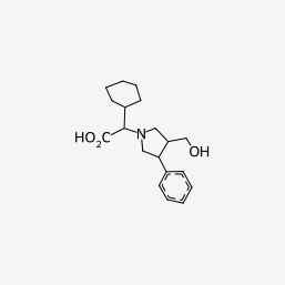 O=C(O)C(C1CCCCC1)N1CC(CO)C(c2ccccc2)C1